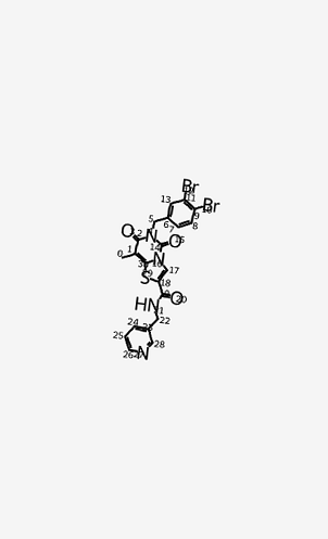 Cc1c(=O)n(Cc2ccc(Br)c(Br)c2)c(=O)n2cc(C(=O)NCc3cccnc3)sc12